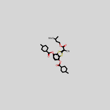 COC(C)CCOC(=O)C(C#N)=C1Sc2c(OC(=O)C3CCC(C)CC3)ccc(OC(=O)C3CCC(C)CC3)c2S1